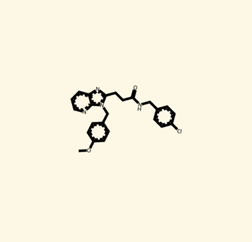 COc1ccc(Cn2c(CCC(=O)NCc3ccc(Cl)cc3)nc3cccnc32)cc1